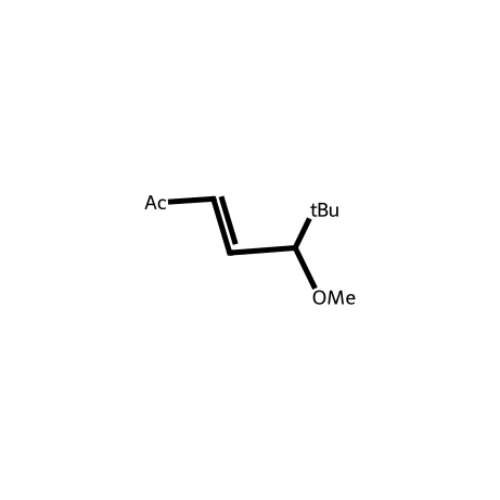 COC(C=CC(C)=O)C(C)(C)C